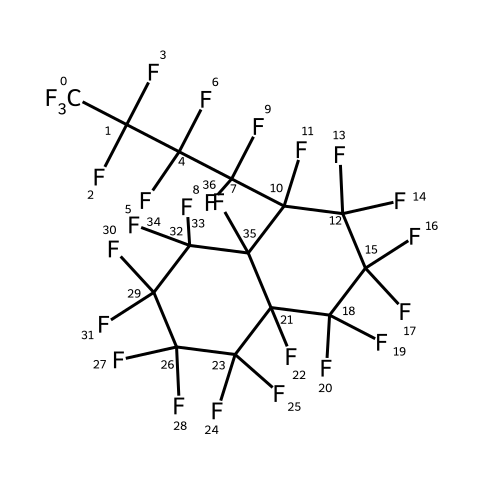 FC(F)(F)C(F)(F)C(F)(F)C(F)(F)C1(F)C(F)(F)C(F)(F)C(F)(F)C2(F)C(F)(F)C(F)(F)C(F)(F)C(F)(F)C12F